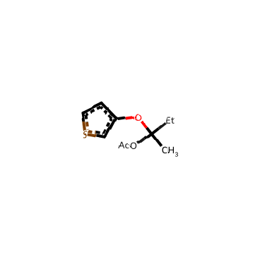 CCC(C)(OC(C)=O)Oc1ccsc1